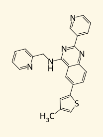 Cc1csc(-c2ccc3nc(-c4cccnc4)nc(NCc4ccccn4)c3c2)c1